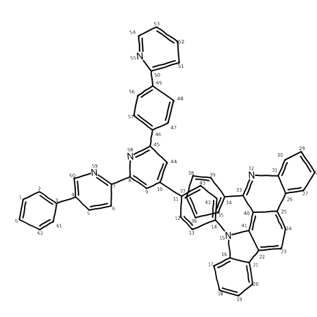 c1ccc(-c2ccc(-c3cc(-c4ccc(-n5c6ccccc6c6ccc7c8ccccc8nc(-c8ccccc8)c7c65)cc4)cc(-c4ccc(-c5ccccn5)cc4)n3)nc2)cc1